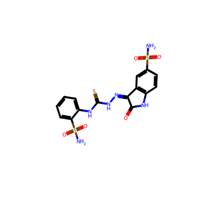 NS(=O)(=O)c1ccc2c(c1)C(=NNC(=S)Nc1ccccc1S(N)(=O)=O)C(=O)N2